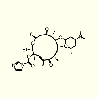 CC[C@H]1OC(=O)[C@H](C)C(=O)[C@H](C)[C@@H](O[C@H]2C[C@@H](N(C)C)C[C@@H](C)O2)[C@@H](C)C[C@@H](C)C(=O)/C(C)=C/[C@]1(C)OC(=O)n1ccnc1